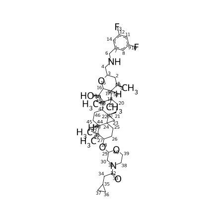 C[C@@H]1CC(CNCc2cc(F)cc(F)c2)OC2[C@H]1C1(C)CC[C@@]34CC35CCC(OC3CN(C(=O)CC6CC6)CCO3)C(C)(C)[C@@H]5CCC4[C@]1(C)[C@H]2O